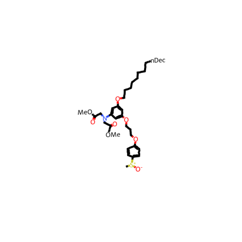 CCCCCCCCCCCCCCCCCCOc1cc(OCCCOc2ccc([S+](C)[O-])cc2)cc(N(CC(=O)OC)CC(=O)OC)c1